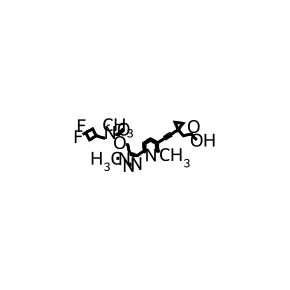 Cc1nc(-c2nnn(C)c2COC(=O)N(C)CC2CC(F)(F)C2)ccc1C#CC1(CC(=O)O)CC1